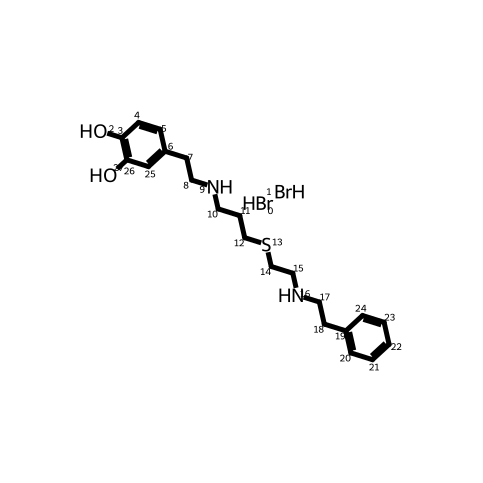 Br.Br.Oc1ccc(CCNCCCSCCNCCc2ccccc2)cc1O